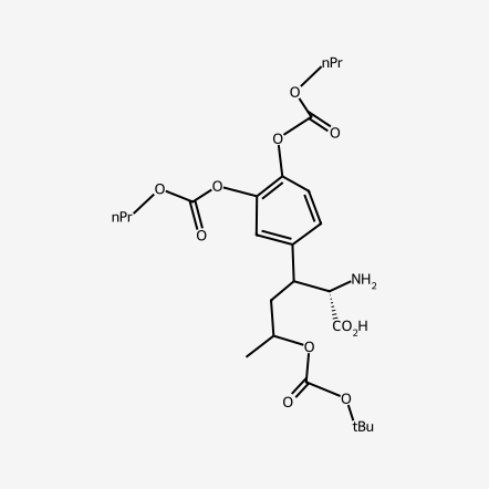 CCCOC(=O)Oc1ccc(C(CC(C)OC(=O)OC(C)(C)C)[C@H](N)C(=O)O)cc1OC(=O)OCCC